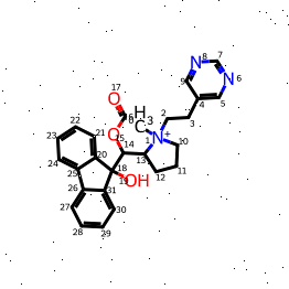 C[N+]1(CCc2cncnc2)CCCC1C(OC=O)C1(O)c2ccccc2-c2ccccc21